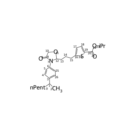 CCCCCC(C)c1ccc(N2C(=O)COC2CCCc2ccc(C(=O)OC(C)C)s2)cc1